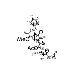 COC(=O)C(C)C[C@H](Cc1ncc(C)cn1)NC(=O)c1csc(C(CC(C(C)C)N(C)C(=O)CC2CC2)OC(C)=O)n1